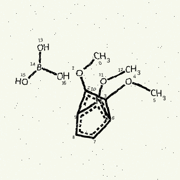 COc1c(OC)c2ccc1n2OC.OB(O)O